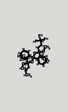 CCC[Si](OC)(OC)O[Si](O[Si](CCC(F)(F)F)(OC)OC)(c1ccccc1)c1ccccc1